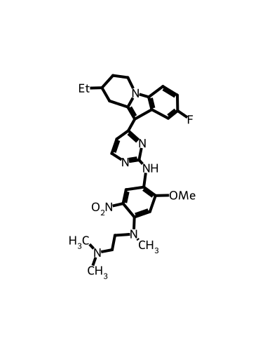 CCC1CCn2c(c(-c3ccnc(Nc4cc([N+](=O)[O-])c(N(C)CCN(C)C)cc4OC)n3)c3cc(F)ccc32)C1